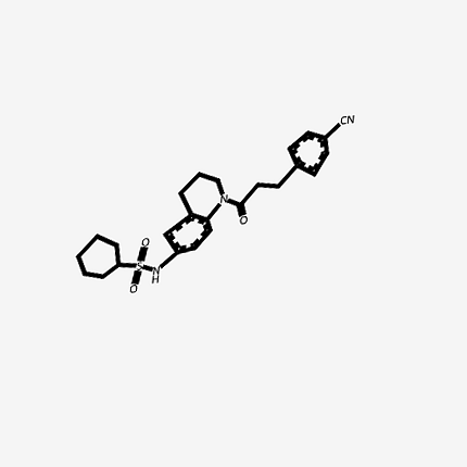 N#Cc1ccc(CCC(=O)N2CCCc3cc(NS(=O)(=O)C4CCCCC4)ccc32)cc1